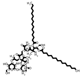 CCCCCCCCCCCCCCCC(=O)OC([C@H](CO)OC(=O)CCCCCCCCCCCCCCC)[C@@](C)(N)C(=O)N[C@H](CCC(=O)N(CC(C)O[C@@H]1[C@@H](N)[C@@H](O)O[C@H](CO)[C@H]1O)[C@](C[C@@H](CN)O[PH](=O)O)(C(C)=O)C(=O)O)C(N)=O